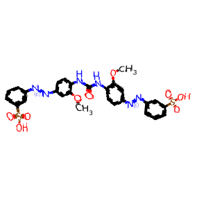 COc1cc(/N=N/c2cccc(S(=O)(=O)O)c2)ccc1NC(=O)Nc1ccc(/N=N/c2cccc(S(=O)(=O)O)c2)cc1OC